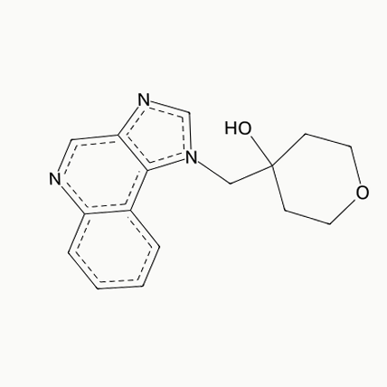 OC1(Cn2cnc3cnc4ccccc4c32)CCOCC1